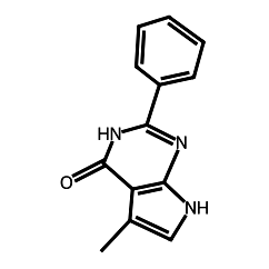 Cc1c[nH]c2nc(-c3ccccc3)[nH]c(=O)c12